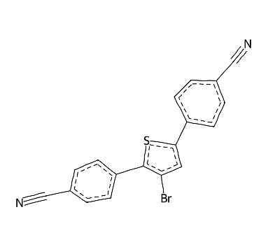 N#Cc1ccc(-c2cc(Br)c(-c3ccc(C#N)cc3)s2)cc1